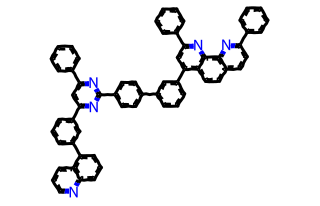 c1ccc(-c2cc(-c3cccc(-c4cccc5ncccc45)c3)nc(-c3ccc(-c4cccc(-c5cc(-c6ccccc6)nc6c5ccc5ccc(-c7ccccc7)nc56)c4)cc3)n2)cc1